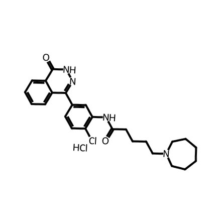 Cl.O=C(CCCCN1CCCCCC1)Nc1cc(-c2n[nH]c(=O)c3ccccc23)ccc1Cl